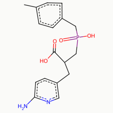 Cc1ccc(CP(=O)(O)CC(Cc2ccc(N)nc2)C(=O)O)cc1